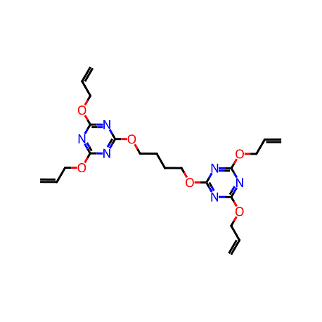 C=CCOc1nc(OCC=C)nc(OCCCCOc2nc(OCC=C)nc(OCC=C)n2)n1